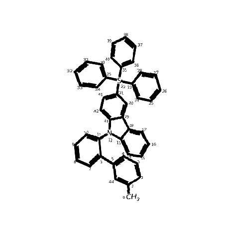 Cc1cccc(-c2ccccc2-n2c3ccccc3c3cc(S(c4ccccc4)(c4ccccc4)c4ccccc4)ccc32)c1